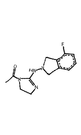 CC(=O)N1CCN=C1NN1Cc2cccc(F)c2C1